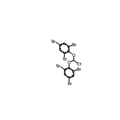 C[CH]C(Oc1c(Br)cc(Br)cc1Br)Oc1c(Br)cc(Br)cc1Br